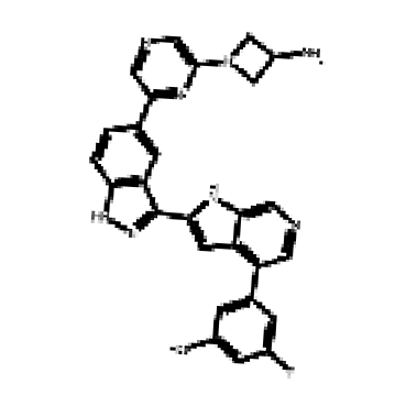 NC1CN(c2cncc(-c3ccc4[nH]nc(-c5cc6c(-c7cc(O)cc(F)c7)cncc6[nH]5)c4c3)n2)C1